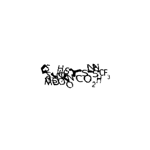 CO[C@@]1(NC(=O)C[S+]([O-])c2cccs2)C(=O)N2C(C(=O)O)=C(CSc3nnc(C(F)(F)F)s3)CS[C@H]21